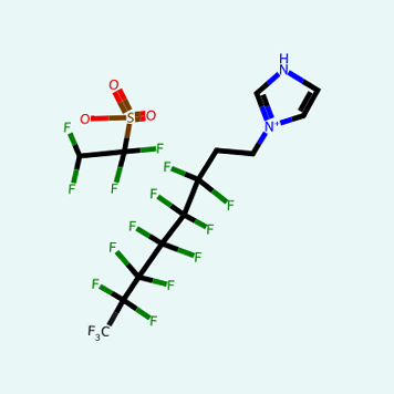 FC(F)(F)C(F)(F)C(F)(F)C(F)(F)C(F)(F)C(F)(F)CC[n+]1cc[nH]c1.O=S(=O)([O-])C(F)(F)C(F)F